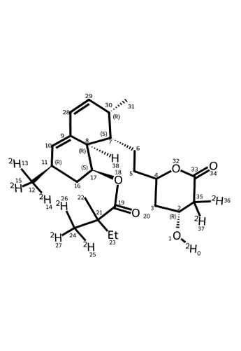 [2H]O[C@@H]1CC(CC[C@@H]2[C@@H]3C(=C[C@H](C([2H])([2H])[2H])C[C@@H]3OC(=O)C(C)(CC)C([2H])([2H])[2H])C=C[C@@H]2C)OC(=O)C1([2H])[2H]